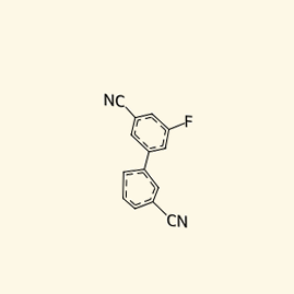 N#Cc1cccc(-c2cc(F)cc(C#N)c2)c1